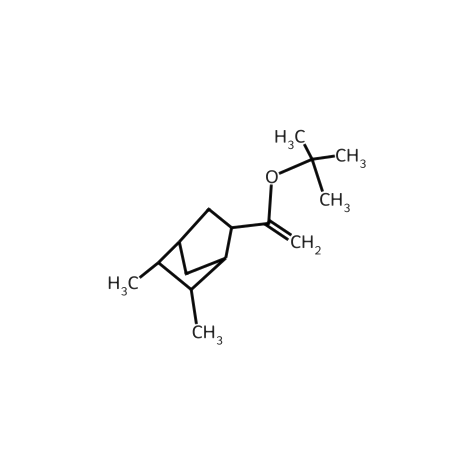 C=C(OC(C)(C)C)C1CC2CC1C(C)C2C